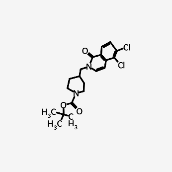 CC(C)(C)OC(=O)N1CCC(Cn2ccc3c(Cl)c(Cl)ccc3c2=O)CC1